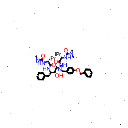 CC(C)[C@H](NC(=O)N(C)C)C(=O)NC(Cc1ccccc1)C(O)CN(Cc1ccc(OCc2ccccc2)cc1)NC(=O)[C@@H](NC(=O)N(C)C)C(C)C